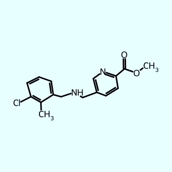 COC(=O)c1ccc(CNCc2cccc(Cl)c2C)cn1